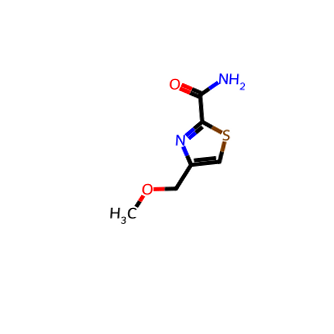 COCc1csc(C(N)=O)n1